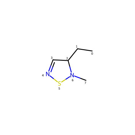 CCC1C=NSN1C